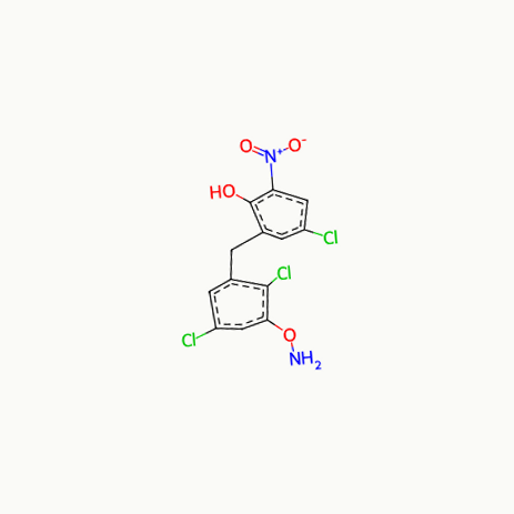 NOc1cc(Cl)cc(Cc2cc(Cl)cc([N+](=O)[O-])c2O)c1Cl